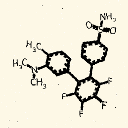 Cc1ccc(-c2c(F)c(F)c(F)c(F)c2-c2ccc(S(N)(=O)=O)cc2)cc1N(C)C